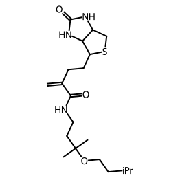 C=C(CCC1SCC2NC(=O)NC21)C(=O)NCCC(C)(C)OCCC(C)C